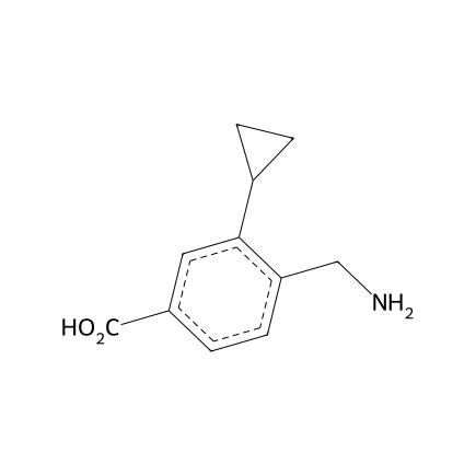 NCc1ccc(C(=O)O)cc1C1CC1